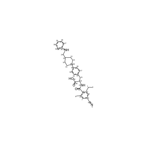 CCc1cc(C#N)cc(C)c1C(=O)NC(Cc1ccc(N2CCC(CNc3ccccn3)CC2)cc1)C(=O)O